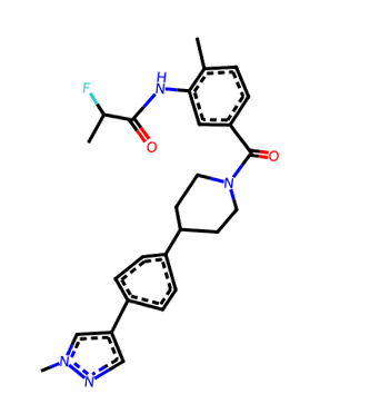 Cc1ccc(C(=O)N2CCC(c3ccc(-c4cnn(C)c4)cc3)CC2)cc1NC(=O)C(C)F